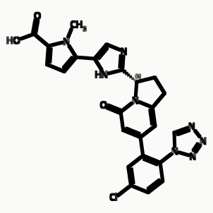 Cn1c(C(=O)O)ccc1-c1cnc([C@@H]2CCc3cc(-c4cc(Cl)ccc4-n4cnnn4)cc(=O)n32)[nH]1